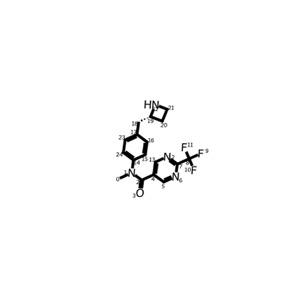 CN(C(=O)c1cnc(C(F)(F)F)nc1)c1ccc(C[C@H]2CCN2)cc1